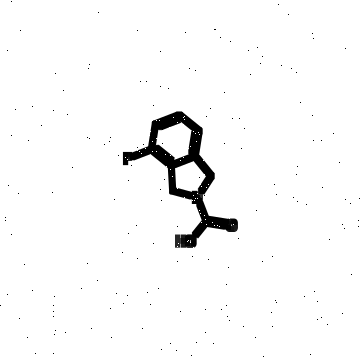 O=C(O)N1Cc2cccc(F)c2C1